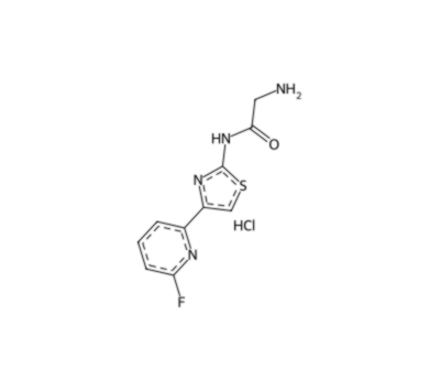 Cl.NCC(=O)Nc1nc(-c2cccc(F)n2)cs1